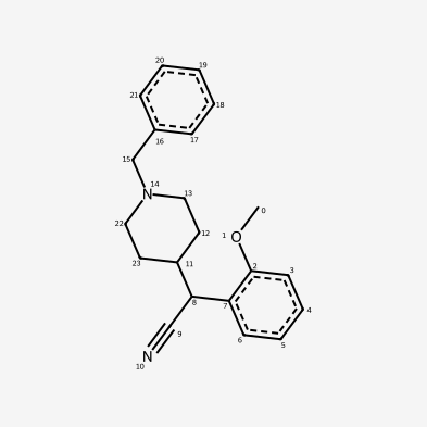 COc1ccccc1C(C#N)C1CCN(Cc2ccccc2)CC1